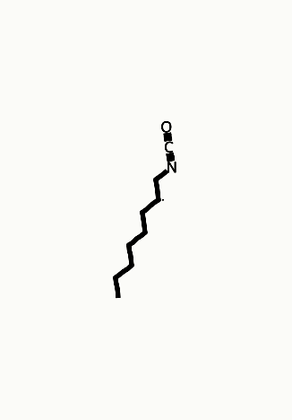 CCCCCC[CH]CN=C=O